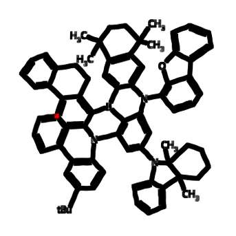 CC(C)(C)c1ccc(N2c3cc(N4c5ccccc5C5(C)CCCCC45C)cc4c3B(c3cc5c(cc3N4c3cccc4c3oc3ccccc34)C(C)(C)CCC5(C)C)c3c2ccc2c3CCc3ccccc3-2)c(-c2ccccc2)c1